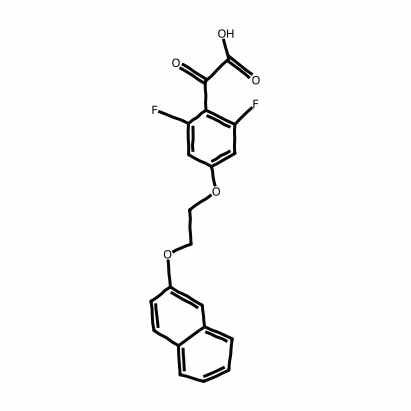 O=C(O)C(=O)c1c(F)cc(OCCOc2ccc3ccccc3c2)cc1F